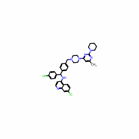 Cc1cc(N2CCN(Cc3ccc(C(Nc4ccnc5cc(Cl)ccc45)c4ccc(Cl)cc4)cc3)CC2)nc(N2CCCCC2)n1